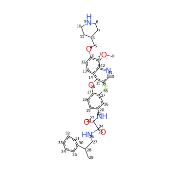 COc1c(OCC2CCNCC2)ccc2c(Oc3ccc(NC(=O)C(=O)NCC(C)c4ccccc4)cc3F)ccnc12